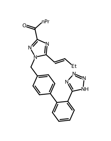 CCC=Cc1nc(C(=O)CCC)nn1Cc1ccc(-c2ccccc2-c2nnn[nH]2)cc1